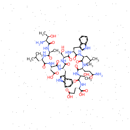 CC(C)C[C@H](NC(=O)[C@H](C)NC(=O)[C@@H](N)[C@@H](C)O)C(=O)N[C@@H](CC(=O)O)C(=O)N[C@@H](Cc1c[nH]c2ccccc12)C(=O)N[C@@H](CO)C(=O)N[C@@H](Cc1c[nH]c2ccccc12)C(=O)N[C@@H](CC(C)C)C(=O)N[C@@H](CCC(N)=O)C(=O)N[C@H](C(=O)N[C@@H](CCC(=O)O)C(=O)O)[C@@H](C)O